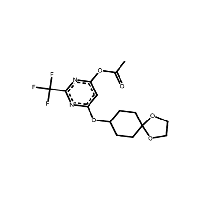 CC(=O)Oc1cc(OC2CCC3(CC2)OCCO3)nc(C(F)(F)F)n1